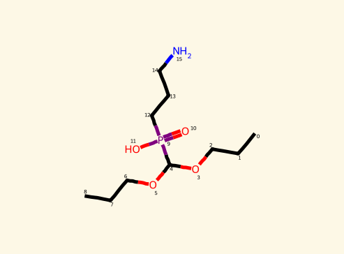 CCCOC(OCCC)P(=O)(O)CCCN